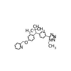 CCn1nnnc1-c1ccc(C(c2ccc(OCc3ccccn3)cc2)C(C)(C)C)cc1